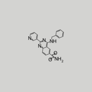 NS(=O)(=O)c1ccc2nc(-c3cccnc3)nc(NCc3ccccc3)c2c1